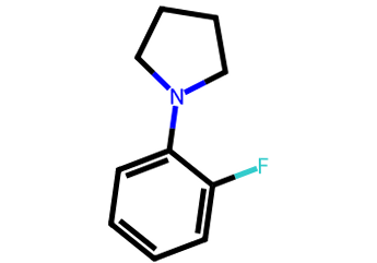 Fc1ccccc1N1CCCC1